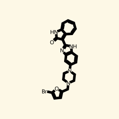 O=c1[nH]c2cccccc-2c1-c1nc2cc(N3CCN(Cc4ccc(Br)o4)CC3)ccc2[nH]1